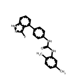 Cc1ccc(C)c(NC(=O)Nc2ccc(-c3cccc4[nH]nc(F)c34)cc2)c1